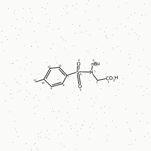 CCCCN(CC(=O)O)S(=O)(=O)c1ccc(C)cc1